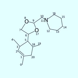 CC1=CC(C)C(C2COC(CN3CCCCC3)O2)C(C)C1